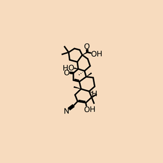 CC1(C)CC[C@]2(C(=O)O)CC[C@@]3(C)[C@]4(C)CC[C@H]5C(C)(C)C(O)=C(C#N)C[C@]5(C)C4=CC(=O)[C@]3(O)C2C1